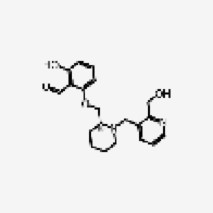 O=Cc1c(O)cccc1OC[C@@H]1CCCCN1Cc1cccnc1CO